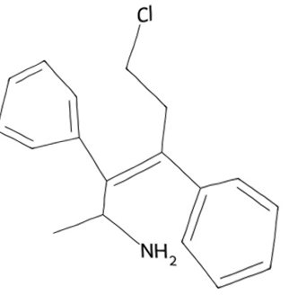 CC(N)C(=C(CCCl)c1ccccc1)c1ccccc1